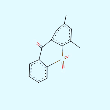 Cc1cc(C)c2c(c1)C(=O)c1ccccc1S2(=O)=O